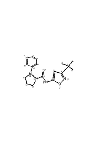 CC(C)(C)c1cc(NC(=O)N2CCCN2c2cccnc2)on1